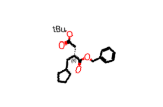 CC(C)(C)OC(=O)C[C@@H](CC1CCCC1)C(=O)OCc1ccccc1